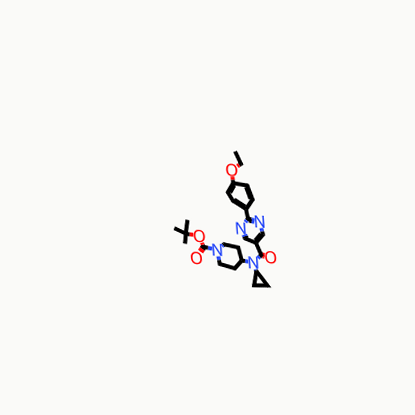 CCOc1ccc(-c2ncc(C(=O)N(C3CC3)C3CCN(C(=O)OC(C)(C)C)CC3)cn2)cc1